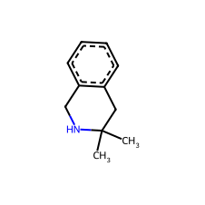 CC1(C)Cc2ccccc2CN1